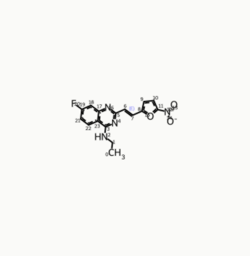 CCNc1nc(/C=C/c2ccc([N+](=O)[O-])o2)nc2cc(F)ccc12